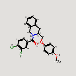 CC(C)(C)Oc1ccc(OC[C@@H]2Cc3ccccc3CN2C(=O)c2ccc(Cl)c(Cl)c2)cc1